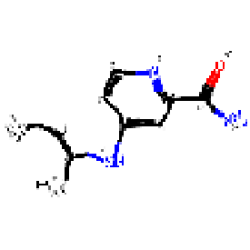 CCC(C)Nc1ccnc(C(N)=O)c1